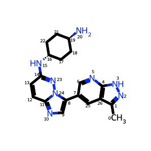 Cc1n[nH]c2ncc(-c3cnc4ccc(N[C@H]5CC[C@H](N)CC5)nn34)cc12